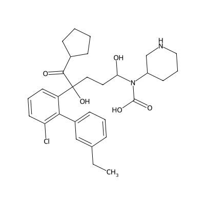 CCc1cccc(-c2c(Cl)cccc2C(O)(CCC(O)N(C(=O)O)C2CCCNC2)C(=O)C2CCCC2)c1